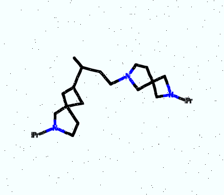 CC(CCN1CCC2(C1)CN(C(C)C)C2)C1CC2(CCN(C(C)C)C2)C1